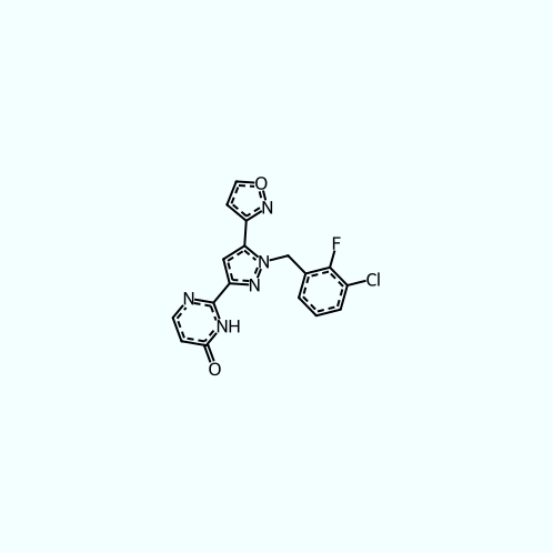 O=c1ccnc(-c2cc(-c3ccon3)n(Cc3cccc(Cl)c3F)n2)[nH]1